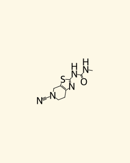 CNC(=O)Nc1nc2c(s1)CN(C#N)CC2